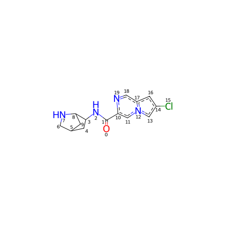 O=C(NC1CC2CNC1C2)c1cn2cc(Cl)cc2cn1